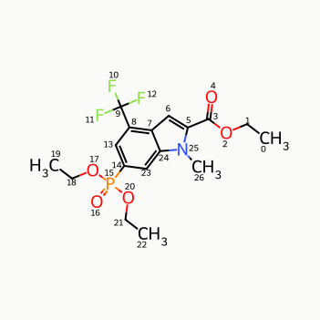 CCOC(=O)c1cc2c(C(F)(F)F)cc(P(=O)(OCC)OCC)cc2n1C